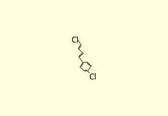 ClC=CC=Cc1ccc(Cl)cc1